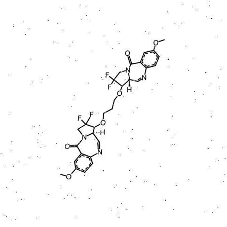 COc1ccc2c(c1)C(=O)N1CC(F)(F)C(OCCCOC3[C@H]4C=Nc5ccc(OC)cc5C(=O)N4CC3(F)F)[C@H]1C=N2